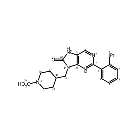 CC(C)c1ccccc1-c1ncc2[nH]c(=O)n(CC3CCN(C(=O)O)CC3)c2n1